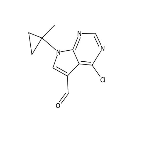 CC1(n2cc(C=O)c3c(Cl)ncnc32)CC1